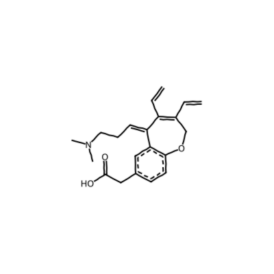 C=CC1=C(C=C)/C(=C/CCN(C)C)c2cc(CC(=O)O)ccc2OC1